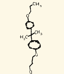 CCCOc1ccc(C(C)(C)c2ccc(OCCCCl)cc2)cc1